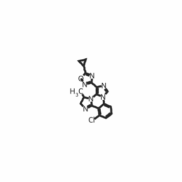 CC1CN=C2c3c(Cl)cccc3-n3cnc(-c4noc(C5CC5)n4)c3N21